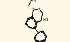 Cl.NC[C@@H]1OCCc2c(-c3ccccc3)cccc21